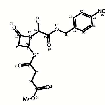 COC(=O)CCC(=O)S[C@H]1CC(=O)N1C(Cl)C(=O)OCc1ccc([N+](=O)[O-])cc1